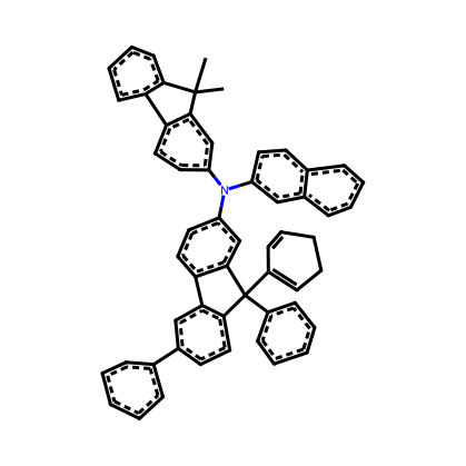 CC1(C)c2ccccc2-c2ccc(N(c3ccc4c(c3)C(C3=CCCC=C3)(c3ccccc3)c3ccc(-c5ccccc5)cc3-4)c3ccc4ccccc4c3)cc21